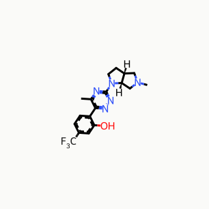 Cc1nc(N2CC[C@@H]3CN(C)C[C@@H]32)nnc1-c1ccc(C(F)(F)F)cc1O